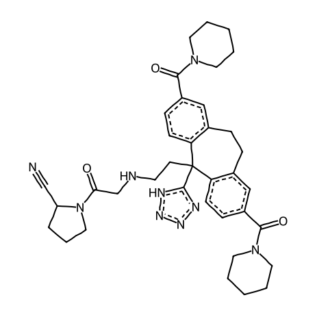 N#CC1CCCN1C(=O)CNCCC1(c2nnn[nH]2)c2ccc(C(=O)N3CCCCC3)cc2CCc2cc(C(=O)N3CCCCC3)ccc21